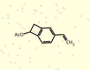 C=Cc1ccc2c(c1)CC2OC(C)=O